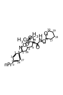 CCCc1ccc(C2=NOC(C[C@](C)(C(=O)NOC3CCCCO3)S(C)(=O)=O)C2)cc1